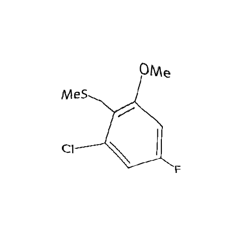 COc1cc(F)cc(Cl)c1SC